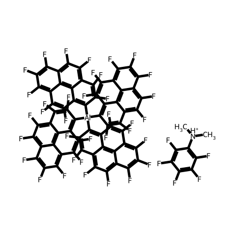 C[NH+](C)c1c(F)c(F)c(F)c(F)c1F.Fc1c(F)c2c(F)c(F)c3c(F)c(F)[c]([Al-]([c]4c(F)c(F)c5c(F)c(F)c6c(F)c(F)c(F)c7c(F)c(F)c4c5c67)([c]4c(F)c(F)c5c(F)c(F)c6c(F)c(F)c(F)c7c(F)c(F)c4c5c67)[c]4c(F)c(F)c5c(F)c(F)c6c(F)c(F)c(F)c7c(F)c(F)c4c5c67)c4c(F)c(F)c(c1F)c2c34